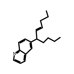 CCCC=CC(CCCC)c1ccc2ncccc2c1